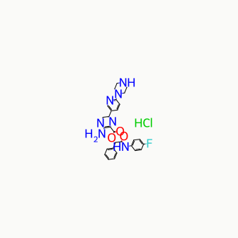 Cl.Nc1ncc(-c2ccc(N3CCNCC3)nc2)nc1C(=O)O[C@@H](C(=O)Nc1ccc(F)cc1)c1ccccc1